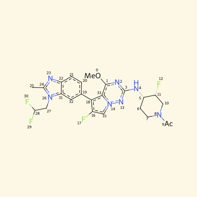 COc1nc(N[C@H]2CCN(C(C)=O)C[C@H]2F)nn2cc(F)c(-c3ccc4nc(C)n(CC(F)F)c4c3)c12